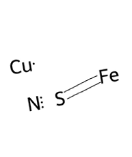 [Cu].[N].[S]=[Fe]